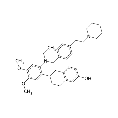 CCN(Cc1ccc(CCN2CCCCC2)cc1)c1cc(OC)c(OC)cc1C1CCc2cc(O)ccc2C1